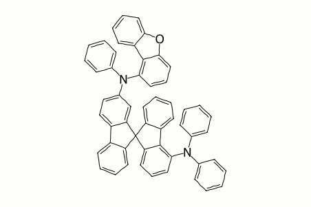 c1ccc(N(c2ccccc2)c2cccc3c2-c2ccccc2C32c3ccccc3-c3ccc(N(c4ccccc4)c4cccc5oc6ccccc6c45)cc32)cc1